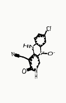 N#Cc1c2c(c[nH]c1=O)[S+]([O-])c1cc(Cl)ccc1N2